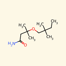 CCC(C)(C)COC(C)(C)CC(N)=O